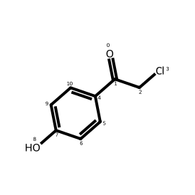 O=C(CCl)c1ccc(O)cc1